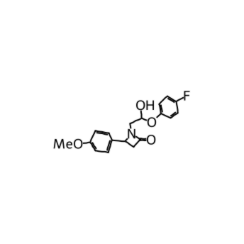 COc1ccc(C2CC(=O)N2CC(O)Oc2ccc(F)cc2)cc1